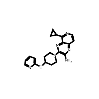 Nc1nc2ccnc(C3CC3)c2nc1N1CCC(Oc2ccccn2)CC1